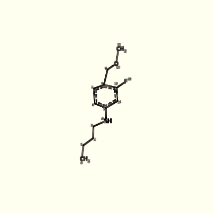 CCCCNc1ccc(COC)c(F)c1